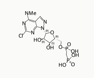 CNc1nc(Cl)nc2c1cnn2[C@@H]1O[C@H](COP(=O)(O)CP(=O)(O)O)[C@@H](O)[C@H]1O